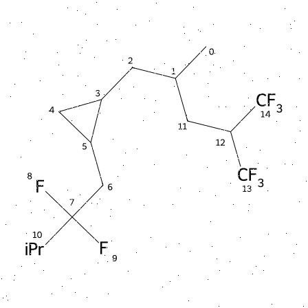 CC(CC1CC1CC(F)(F)C(C)C)CC(C(F)(F)F)C(F)(F)F